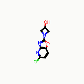 OC1CN(c2nc3nc(Cl)ccc3o2)C1